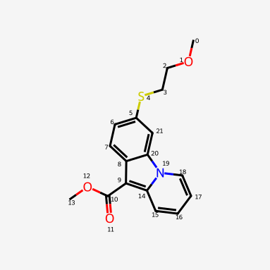 COCCSc1ccc2c(C(=O)OC)c3ccccn3c2c1